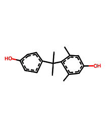 Cc1cc(O)cc(C)c1C(C)(C)c1ccc(O)cc1